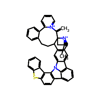 C=C1[n+]2ccccc2-c2ccccc2CCC2c3cc4c(cc3-c3ccc(C)c5[n+]3C12C5)c1cccc2c3ccc5sc6ccccc6c5c3n4c12